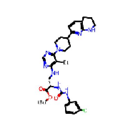 CCc1c(NC[C@H](NC(=O)Nc2cccc(Cl)c2)C(=O)OC(C)(C)C)ncnc1N1CCC(c2ccc3c(n2)NCCC3)CC1